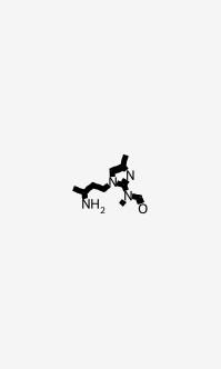 Cc1cn(CCC(C)N)c(N(C)C=O)n1